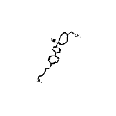 CCCCCc1ccc(-c2ccc([C@]3(C#N)CC[C@H](CC)CC3)cc2)cc1